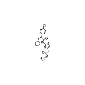 COC(=O)Cc1csc(NC(=O)C(CC2CCCC2)c2ccc(Cl)cc2)n1